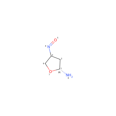 N[C@H]1CC(N=O)CO1